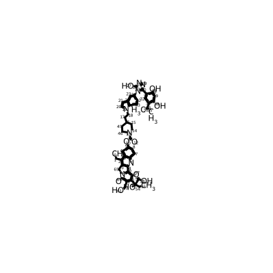 CCc1c2c(nc3ccc(OC(=O)N4CCC(CCn5ccc6cc(-n7c(O)nnc7-c7cc(C(C)C)c(O)cc7O)ccc65)CC4)cc13)-c1cc([C@@](O)(CC)C(=O)O)c(CO)c(=O)n1C2